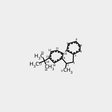 CC(Cc1ccccc1)c1cccc(C(C)(C)C)c1